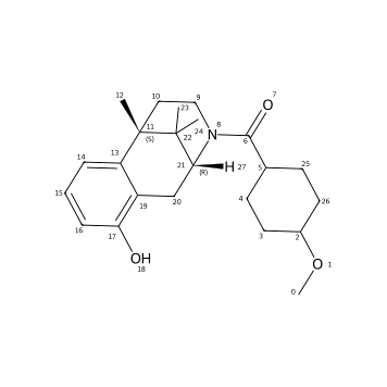 COC1CCC(C(=O)N2CC[C@@]3(C)c4cccc(O)c4C[C@@H]2C3(C)C)CC1